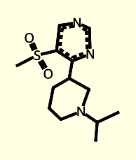 CC(C)N1CCCC(c2ncncc2S(C)(=O)=O)C1